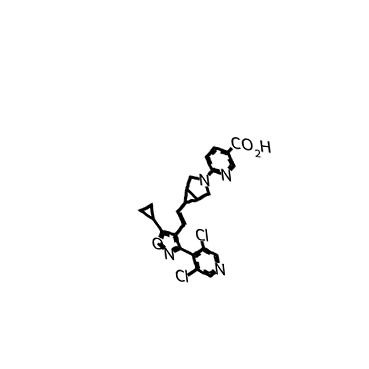 O=C(O)c1ccc(N2CC3C(C=Cc4c(-c5c(Cl)cncc5Cl)noc4C4CC4)C3C2)nc1